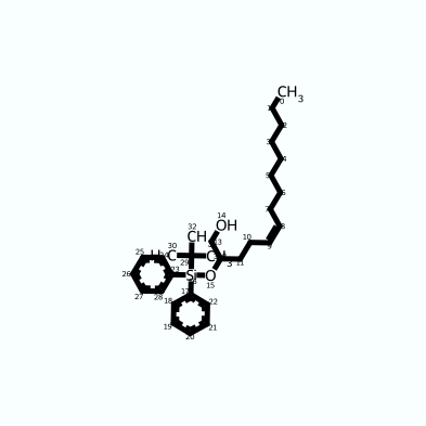 CCCCCCCC/C=C\CCC(CO)O[Si](c1ccccc1)(c1ccccc1)C(C)(C)C